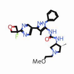 COCCN1C[C@@H](C)[C@H](NC(=O)Nc2c(C)c(-c3cnc(C4(F)COC4)nc3)nn2-c2ccccc2)C1